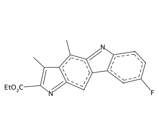 CCOC(=O)C1=C(C)c2c(C)c3c(cc2=N1)-c1cc(F)ccc1N=3